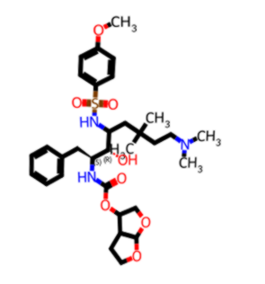 COc1ccc(S(=O)(=O)NC(CC(C)(C)CCN(C)C)[C@H](O)[C@H](Cc2ccccc2)NC(=O)OC2COC3OCCC23)cc1